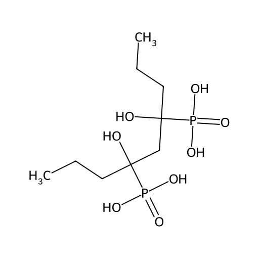 CCCC(O)(CC(O)(CCC)P(=O)(O)O)P(=O)(O)O